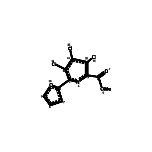 COC(=O)c1nc(-c2ccco2)c(Cl)c(Cl)c1Cl